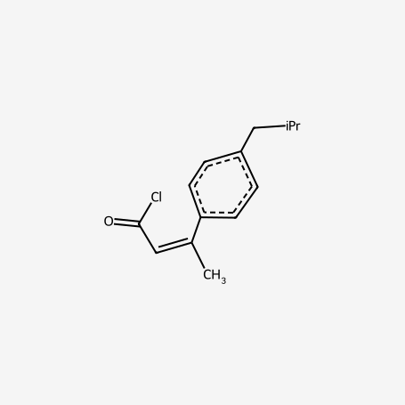 C/C(=C/C(=O)Cl)c1ccc(CC(C)C)cc1